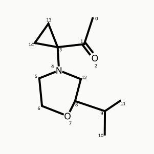 CC(=O)C1(N2CCOC(C(C)C)C2)CC1